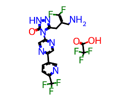 NCC(Cc1n[nH]c(=O)n1-c1cnc(-c2ccc(C(F)(F)F)nc2)cn1)=C(F)F.O=C(O)C(F)(F)F